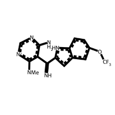 CNc1ncnc(N)c1C(=N)c1cc2cc(OC(F)(F)F)ccc2[nH]1